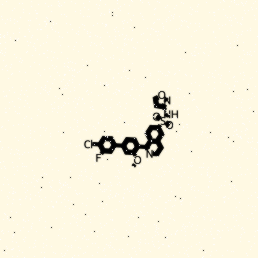 COc1cc(-c2ccc(Cl)c(F)c2)ccc1-c1nccc2cc(S(=O)(=O)Nc3ccon3)ccc12